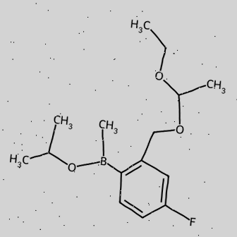 CCOC(C)OCc1cc(F)ccc1B(C)OC(C)C